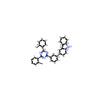 Cc1ccccc1-c1nc(-c2cccc(-c3ccc4[nH]c5ccccc5c4c3)c2)nc(-c2ccccc2C)n1